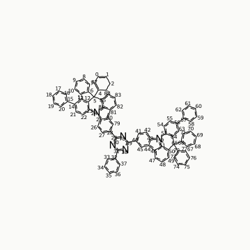 C1=CCCC(C2(c3ccccc3)c3cc(-c4ccccc4)ccc3-n3c4ccc(-c5nc(-c6ccccc6)nc(-c6ccc7c(c6)c6cccc8c6n7-c6ccc(-c7ccccc7)cc6C8(c6ccccc6)c6ccccc6)n5)cc4c4cccc2c43)=C1